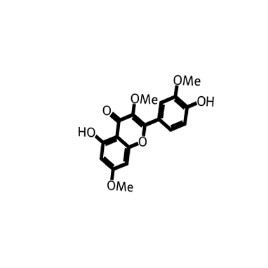 COc1cc(O)c2c(=O)c(OC)c(-c3ccc(O)c(OC)c3)oc2c1